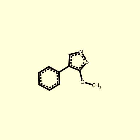 COc1sn[c]c1-c1ccccc1